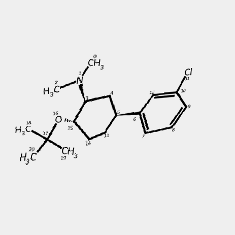 CN(C)[C@H]1C[C@@H](c2cccc(Cl)c2)CC[C@@H]1OC(C)(C)C